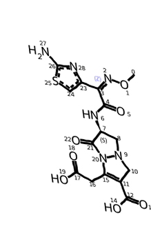 CO/N=C(\C(=O)N[C@H]1CN2CC(C(=O)O)=C(CC(=O)O)N2C1=O)c1csc(N)n1